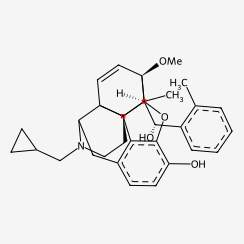 CO[C@]12C=CC3(CC1(C)[C@@H](O)c1ccccc1C)C1Cc4ccc(O)c5c4[C@@]3(CCN1CC1CC1)[C@@H]2O5